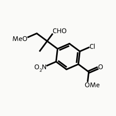 COCC(C)(C=O)c1cc(Cl)c(C(=O)OC)cc1[N+](=O)[O-]